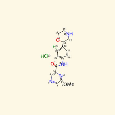 COc1cncc(C(=O)Nc2ccc([C@@H]3CNCCO3)c(F)c2)n1.Cl